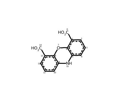 O=C(O)c1cccc2c1Oc1c(cccc1C(=O)O)N2